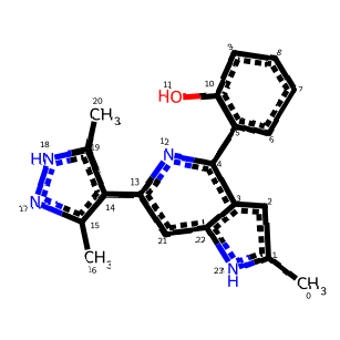 Cc1cc2c(-c3ccccc3O)nc(-c3c(C)n[nH]c3C)cc2[nH]1